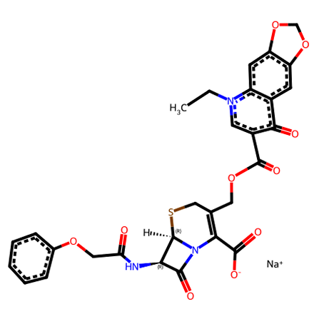 CCn1cc(C(=O)OCC2=C(C(=O)[O-])N3C(=O)[C@@H](NC(=O)COc4ccccc4)[C@H]3SC2)c(=O)c2cc3c(cc21)OCO3.[Na+]